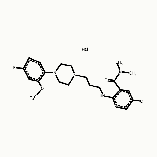 COc1cc(F)ccc1N1CCN(CCCNc2ncc(Cl)cc2C(=O)N(C)C)CC1.Cl